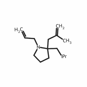 C=CCN1CCCC1(CC(=C)C)CC(C)C